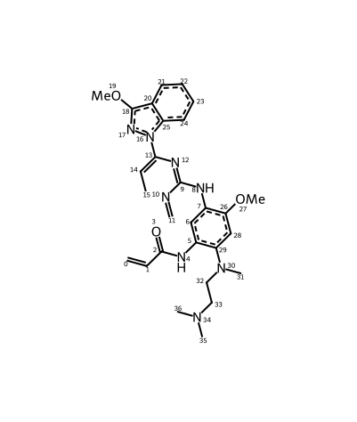 C=CC(=O)Nc1cc(N/C(N=C)=N/C(=C\C)n2nc(OC)c3ccccc32)c(OC)cc1N(C)CCN(C)C